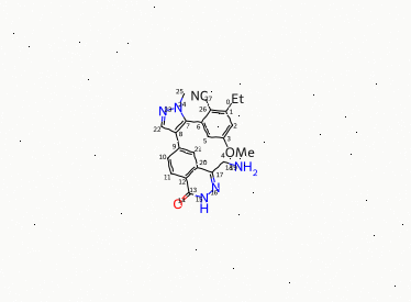 CCc1cc(OC)cc(-c2c(-c3ccc4c(=O)[nH]nc(CN)c4c3)cnn2C)c1C#N